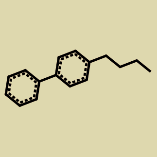 CCCCc1ccc(-c2ccccc2)cc1